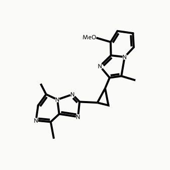 COc1cccn2c(C)c(C3CC3c3nc4c(C)ncc(C)n4n3)nc12